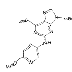 CCCCn1cnc2c(OCC(C)C)nc(Nc3ccc(OC)nc3)nc21